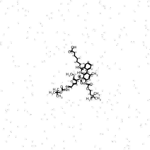 CSc1sc(C=NNC(=O)OC(C)(C)C)cc1S(=O)(=O)c1c(NC(=O)OCC[Si](C)(C)C)cc(C)c(-c2ccccc2)c1NC(=O)NCCCCCC(=O)O